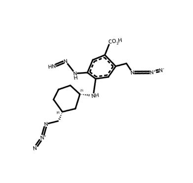 [N-]=[N+]=NCc1cc(N[C@H]2CCC[C@@H](CN=[N+]=[N-])C2)c(NN=N)cc1C(=O)O